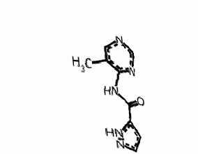 Cc1cncnc1NC(=O)c1ccn[nH]1